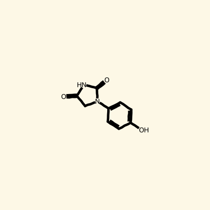 O=C1CN(c2ccc(O)cc2)C(=O)N1